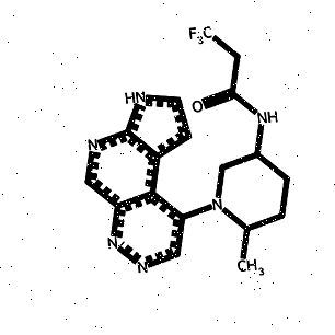 CC1CCC(NC(=O)CC(F)(F)F)CN1c1cnnc2cnc3[nH]ccc3c12